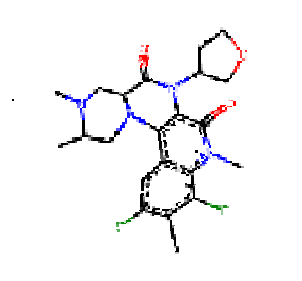 Cc1c(F)cc2c3c(c(=O)n(C)c2c1F)N(C1CCOC1)C(=O)C1CN(C)C(C)CN31